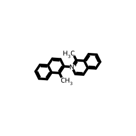 Cc1c(-[n+]2ccc3ccccc3c2C)ccc2ccccc12